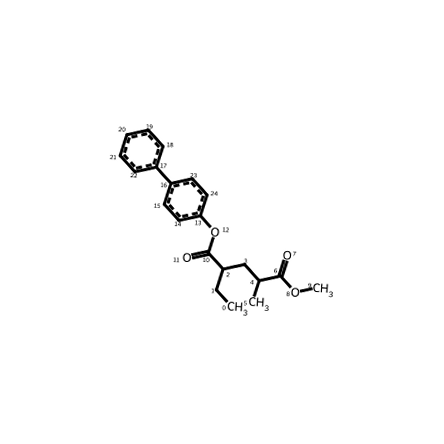 CCC(CC(C)C(=O)OC)C(=O)Oc1ccc(-c2ccccc2)cc1